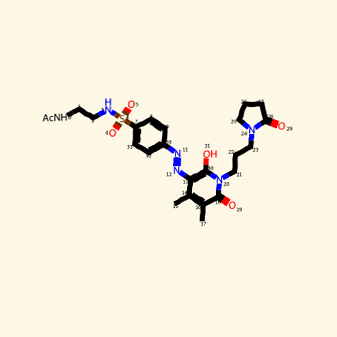 CC(=O)NCCNS(=O)(=O)c1ccc(/N=N/c2c(C)c(C)c(=O)n(CCCN3CCCC3=O)c2O)cc1